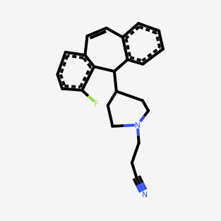 N#CCCN1CCC(C2c3ccccc3C=Cc3cccc(F)c32)CC1